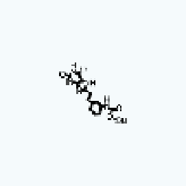 CC(C)(C)OC(=O)Nc1cccc(C=Cc2nc3[nH]c(=O)[nH]c(=O)c3[nH]2)c1